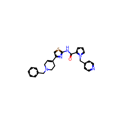 O=C(Nc1nc(C2=CCN(Cc3ccccc3)CC2)cs1)c1cccn1Cc1ccncc1